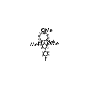 COc1cc(-c2ccc(F)cc2)cc(OC)c1C1C(=O)CCCN(OC)CCCC1O